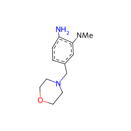 CNc1cc(CN2CCOCC2)ccc1N